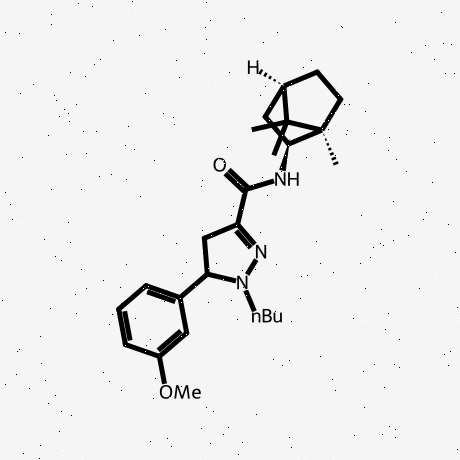 CCCCN1N=C(C(=O)N[C@H]2C[C@H]3CC[C@]2(C)C3(C)C)CC1c1cccc(OC)c1